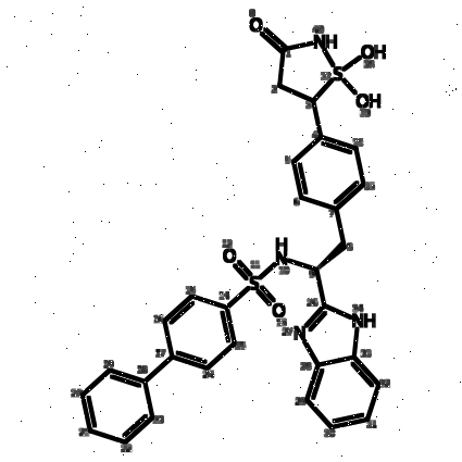 O=C1CC(c2ccc(C[C@H](NS(=O)(=O)c3ccc(-c4ccccc4)cc3)c3nc4ccccc4[nH]3)cc2)S(O)(O)N1